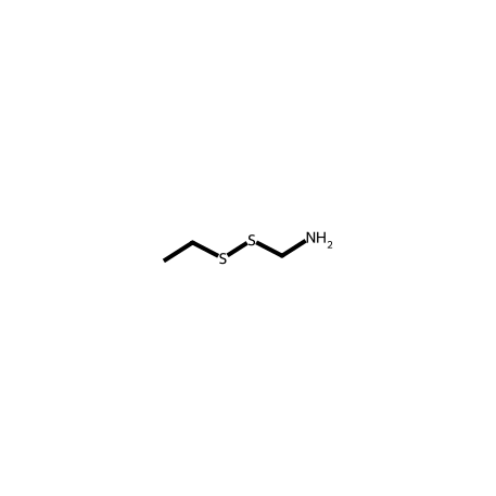 CCSSCN